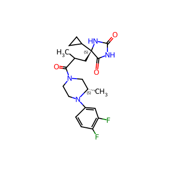 CC(C[C@@]1(C2CC2)NC(=O)NC1=O)C(=O)N1CCN(c2ccc(F)c(F)c2)[C@@H](C)C1